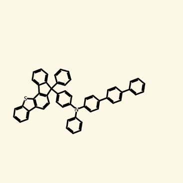 c1ccc(-c2ccc(-c3ccc(N(c4ccccc4)c4ccc(C5(c6ccccc6)c6ccccc6-c6c5ccc5c6sc6ccccc65)cc4)cc3)cc2)cc1